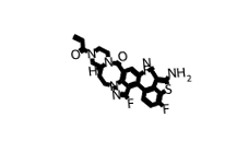 C=CC(=O)N1CCN2C(=O)c3cc(F)c(-c4ccc(F)c5sc(N)c(C#N)c45)c4c(F)nn(c34)CC[C@@H]2C1